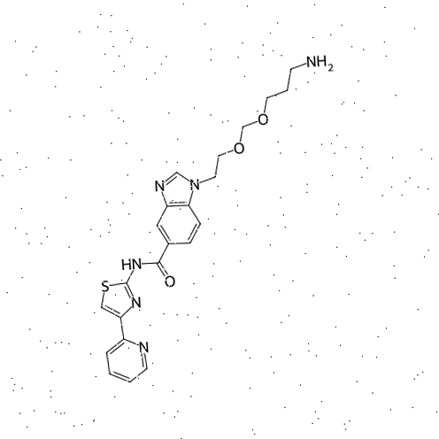 NCCCOCOCCn1cnc2cc(C(=O)Nc3nc(-c4ccccn4)cs3)ccc21